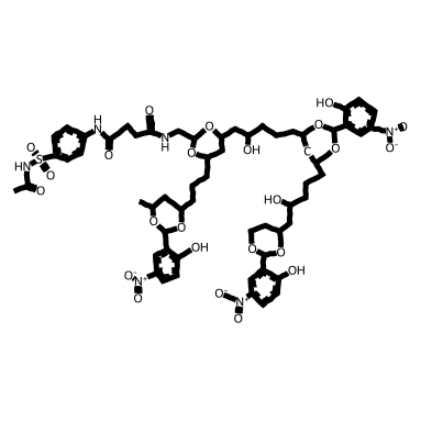 CC(=O)NS(=O)(=O)c1ccc(NC(=O)CCC(=O)NCC2OC(CCCC3CC(C)OC(c4cc([N+](=O)[O-])ccc4O)O3)CC(CC(O)CCCC3CC(CCCC(O)CC4CCOC(c5cc([N+](=O)[O-])ccc5O)O4)OC(c4cc([N+](=O)[O-])ccc4O)O3)O2)cc1